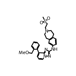 COCc1ccccc1-c1cccn2nc(Nc3ccc4c(c3)CCN(CCS(C)(=O)=O)CC4)nc12